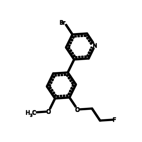 COc1ccc(-c2cncc(Br)c2)cc1OCCF